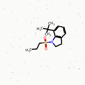 CCCS(=O)(=O)N1CCc2cccc(C(C)(C)C)c21